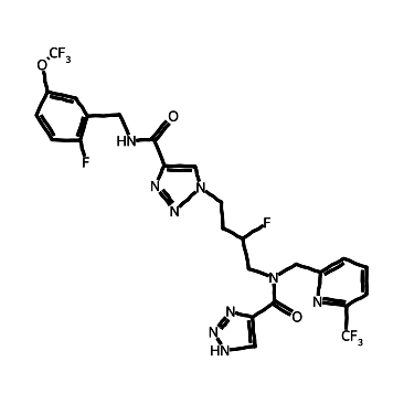 O=C(NCc1cc(OC(F)(F)F)ccc1F)c1cn(CCC(F)CN(Cc2cccc(C(F)(F)F)n2)C(=O)c2c[nH]nn2)nn1